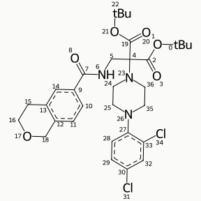 CC(C)(C)OC(=O)C(CNC(=O)c1ccc2c(c1)CCOC2)(C(=O)OC(C)(C)C)N1CCN(c2ccc(Cl)cc2Cl)CC1